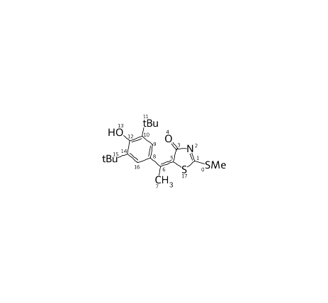 CSC1=NC(=O)C(=C(C)c2cc(C(C)(C)C)c(O)c(C(C)(C)C)c2)S1